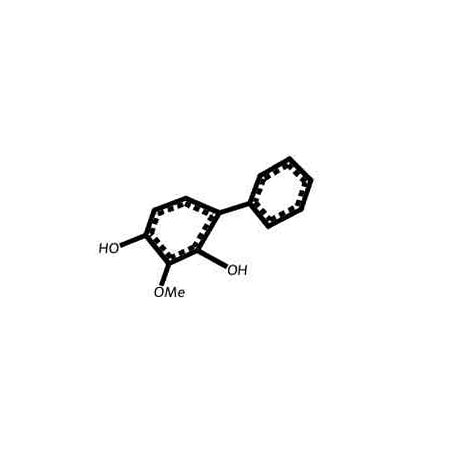 COc1c(O)ccc(-c2ccccc2)c1O